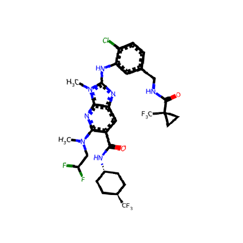 CN(CC(F)F)c1nc2c(cc1C(=O)N[C@H]1CC[C@H](C(F)(F)F)CC1)nc(Nc1cc(CNC(=O)C3(C(F)(F)F)CC3)ccc1Cl)n2C